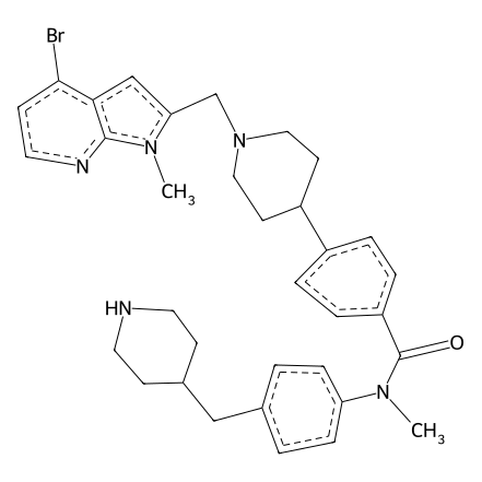 CN(C(=O)c1ccc(C2CCN(Cc3cc4c(Br)ccnc4n3C)CC2)cc1)c1ccc(CC2CCNCC2)cc1